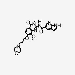 COc1c(OCCCN2CCOCC2)ccc2c(=O)n(C)c(NC(=O)c3cnc4[nH]ccc4c3)nc12